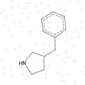 c1ccc(C[C]2CCNC2)cc1